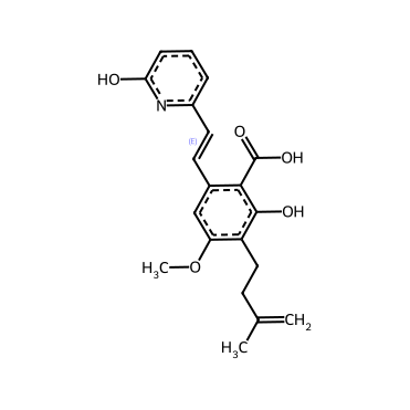 C=C(C)CCc1c(OC)cc(/C=C/c2cccc(O)n2)c(C(=O)O)c1O